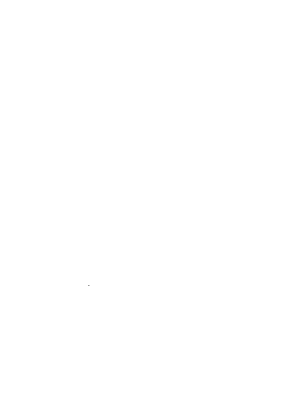 CC(=O)O[C@H](CCl)COc1c(Cl)cc(C(C)(C)c2ccc(OC[C@H](CN)OC(C)=O)cc2)cc1Cl